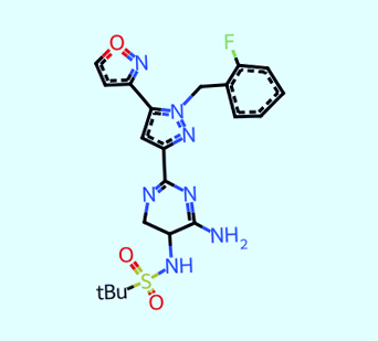 CC(C)(C)S(=O)(=O)NC1CN=C(c2cc(-c3ccon3)n(Cc3ccccc3F)n2)N=C1N